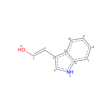 OC=Cc1c[nH]c2ccccc12